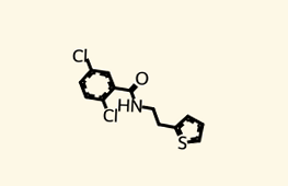 O=C(NCCc1cccs1)c1cc(Cl)ccc1Cl